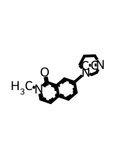 Cn1ccc2ccc(N3CCN4CCC3CC4)cc2c1=O